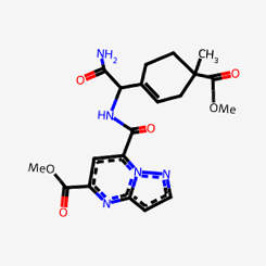 COC(=O)c1cc(C(=O)NC(C(N)=O)C2=CCC(C)(C(=O)OC)CC2)n2nccc2n1